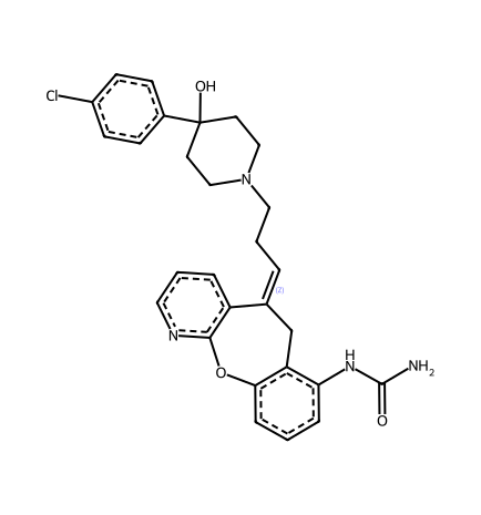 NC(=O)Nc1cccc2c1C/C(=C/CCN1CCC(O)(c3ccc(Cl)cc3)CC1)c1cccnc1O2